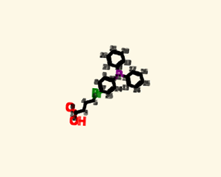 O=C(O)CCCBr.c1ccc(P(c2ccccc2)c2ccccc2)cc1